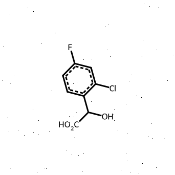 O=C(O)C(O)c1ccc(F)cc1Cl